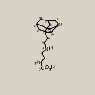 O=C(O)NCCNCCC12CC3CC(CC(C3)C1)C2